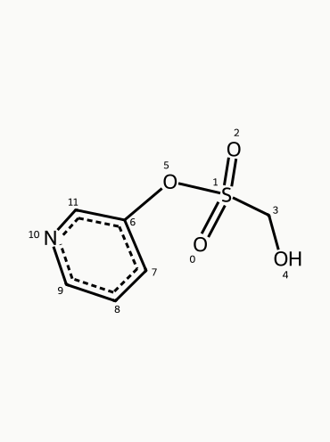 O=S(=O)(CO)Oc1cccnc1